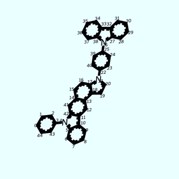 c1ccc(-n2c3ccccc3c3cc4c(ccc5c4ccn5-c4ccc(-n5c6ccccc6c6ccccc65)cc4)cc32)cc1